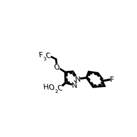 O=C(O)c1nn(-c2ccc(F)cc2)cc1OCC(F)(F)F